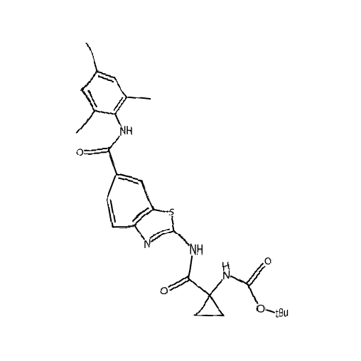 Cc1cc(C)c(NC(=O)c2ccc3nc(NC(=O)C4(NC(=O)OC(C)(C)C)CC4)sc3c2)c(C)c1